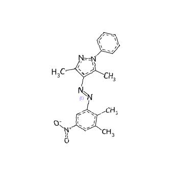 Cc1cc([N+](=O)[O-])cc(/N=N/c2c(C)nn(-c3ccccc3)c2C)c1C